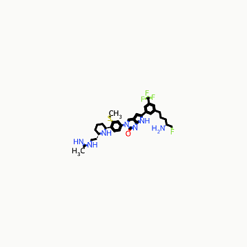 CSc1cc(-n2cc3cc(-c4cc(CCC[C@@H](N)CF)cc(C(F)(F)F)c4)[nH]c3nc2=O)ccc1[C@@H]1CCC[C@@H](CCNC(C)=N)N1